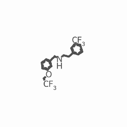 FC(F)(F)COc1cccc(CNCCc2cccc(C(F)(F)F)c2)c1